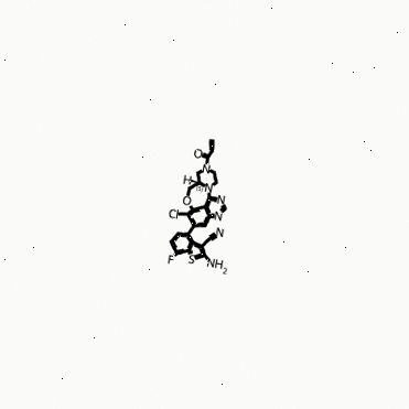 C=CC(=O)N1CCN2c3ncnc4cc(-c5ccc(F)c6sc(N)c(C#N)c56)c(Cl)c(c34)OC[C@@H]2C1